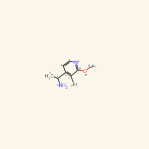 CCc1c(C(C)N)ccnc1OC(C)C